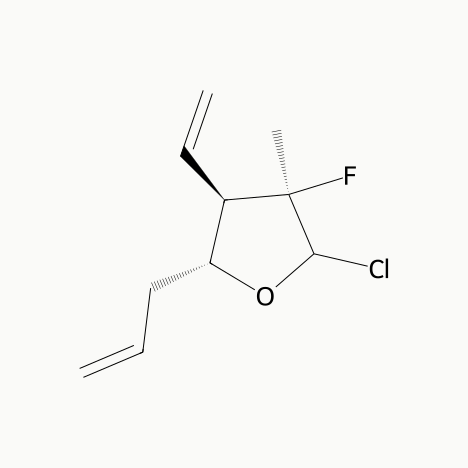 C=CC[C@H]1OC(Cl)[C@](C)(F)[C@@H]1C=C